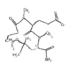 CCCC(=O)N(C)C(CC[N+](=O)[O-])C(=O)N(C)[C@@H](CC(C)(C)OC)C(N)=O